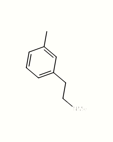 CNCCc1cccc(C)c1